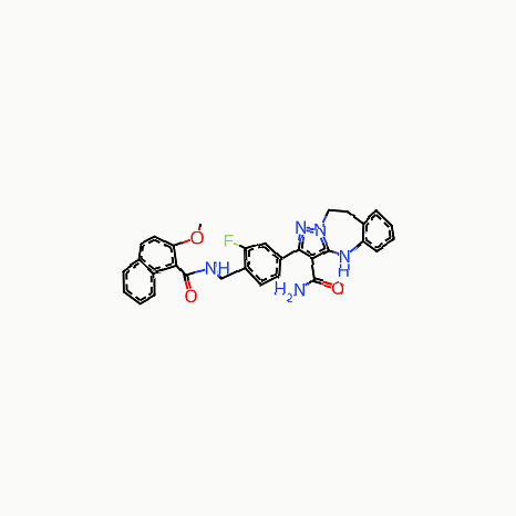 COc1ccc2ccccc2c1C(=O)NCc1ccc(-c2nn3c(c2C(N)=O)Nc2ccccc2CC3)cc1F